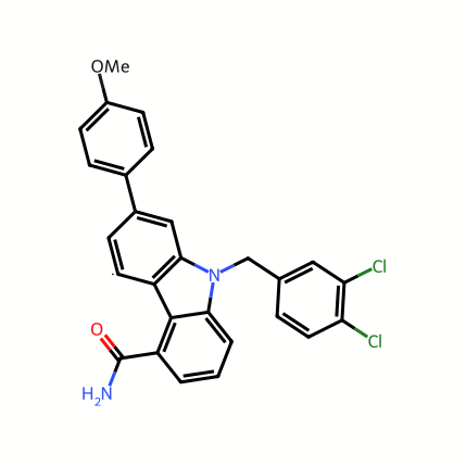 COc1ccc(-c2c[c]c3c4c(C(N)=O)cccc4n(Cc4ccc(Cl)c(Cl)c4)c3c2)cc1